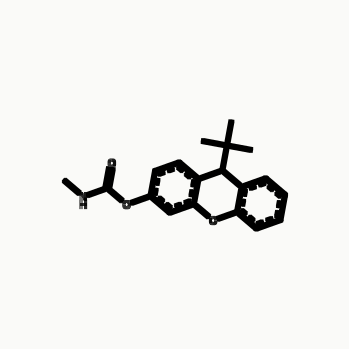 CNC(=O)Oc1ccc2c(c1)Oc1ccccc1C2C(C)(C)C